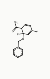 NC(=O)C1C=CC(F)=CC1(F)OCc1ccccc1